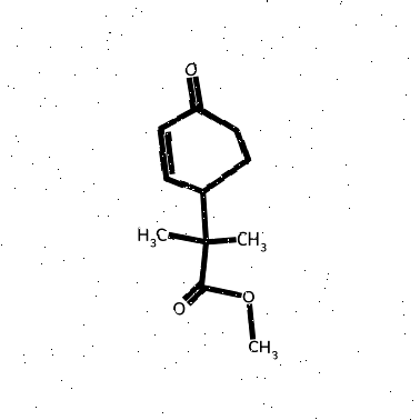 COC(=O)C(C)(C)C1C=CC(=O)CC1